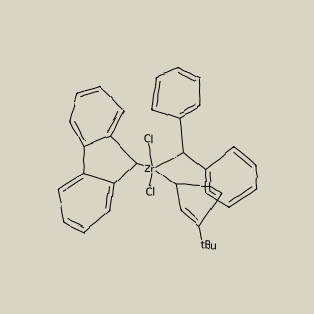 CC(C)(C)C1=C[CH]([Zr]([Cl])([Cl])([CH](c2ccccc2)c2ccccc2)[CH]2c3ccccc3-c3ccccc32)C=C1